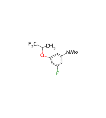 CNc1cc(F)cc(OC(C)C(F)(F)F)c1